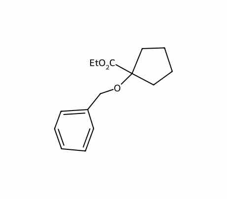 CCOC(=O)C1(OCc2ccccc2)CCCC1